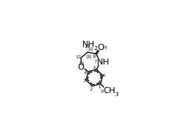 Cc1ccc2c(c1)NC(=O)[C@@H](N)CO2